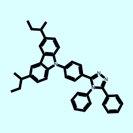 CCC(C)c1ccc2c(c1)c1cc(C(C)CC)ccc1n2-c1ccc(-c2nnc(-c3ccccc3)n2-c2ccccc2)cc1